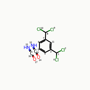 ClC(Cl)c1cccc(C(Cl)Cl)c1.N=C=O.N=C=O